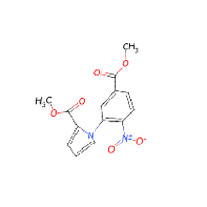 COC(=O)c1ccc([N+](=O)[O-])c(-n2cccc2C(=O)OC)c1